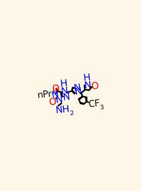 CCCn1c(=O)c2[nH]c(-c3cnn(C(c4cccc(C(F)(F)F)c4)C4CNC(=O)C4)c3)nc2n(CCN)c1=O